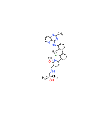 COc1nc(-c2cccc(-c3cccc(Nc4nc(C)nc5cccnc45)c3C)c2Cl)ccc1CNCC(C)(C)O